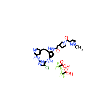 Cn1ccc(C(=O)N2CC[C@@H](CC(=O)Nc3ccc4cc3CCc3cncc(c3)Nc3ncc(Cl)c(n3)N4)C2)n1.O=C(O)C(F)(F)F.O=C(O)C(F)(F)F